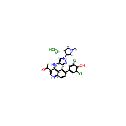 CC(=O)c1cnc2ccc(-c3cc(Cl)c(O)c(Cl)c3)cc2c1Nc1cnn(C2CCN(C)C2)c1.Cl.Cl